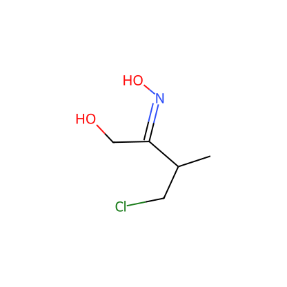 CC(CCl)C(CO)=NO